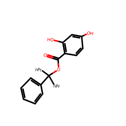 CCCC(CCC)(OC(=O)c1ccc(O)cc1O)c1ccccc1